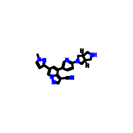 Cn1ccc(-c2cc(-c3ccc(N4C[C@H]5CNC[C@H]5C4)nc3)c3c(C#N)cnn3c2)n1